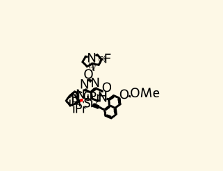 COCOc1cc(N2CCc3c(nc(OC[C@@]45CCCN4C[C@H](F)C5)nc3N3CC4CCC(C3)N4C(=O)O)C2=O)c2c(C#C[Si](C(C)C)(C(C)C)C(C)C)cccc2c1